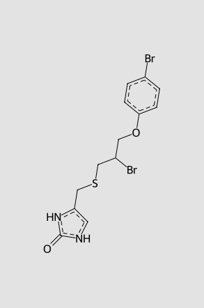 O=c1[nH]cc(CSCC(Br)COc2ccc(Br)cc2)[nH]1